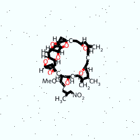 C=C1C[C@@H]2CC[C@@]34C[C@H]5[C@H]6O[C@H](CC[C@@H]6O[C@H]6[C@@H](O3)[C@@H](C4)O[C@@H]56)CC(=O)C[C@@H]3[C@@H](OC)[C@@H](CC(C)C[N+](=O)[O-])O[C@H]3C[C@H]3O[C@@H](CC[C@@H]1O2)C[C@@H](C)C3=C